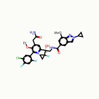 CCOc1c(CC(N)=O)cc([C@@](O)(CNC(=O)c2cc(OC)c3nn(C4CC4)cc3c2)C2(F)CC2)nc1-c1cc(Cl)c(F)cc1F